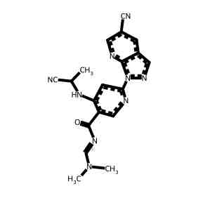 CC(C#N)Nc1cc(-n2ncc3cc(C#N)cnc32)ncc1C(=O)/N=C/N(C)C